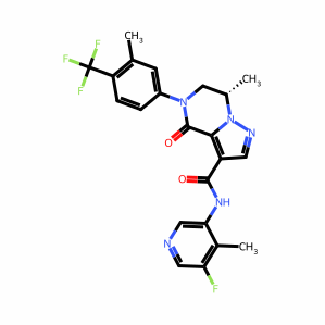 Cc1cc(N2C[C@H](C)n3ncc(C(=O)Nc4cncc(F)c4C)c3C2=O)ccc1C(F)(F)F